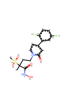 CC(CCn1ccc(-c2cc(F)ccc2F)cc1=O)(C(=O)NO)S(C)(=O)=O